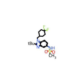 CC(C)(C)c1nc2cc(NS(C)(=O)=O)ccc2n1CC1CCC(F)(F)CC1